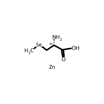 C[Se]C[C@H](N)C(=O)O.[Zn]